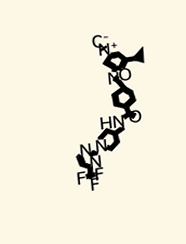 [C-]#[N+]c1cc(C2CC2)c2oc(-c3ccc(C(=O)NCC4CCN(c5nccc(C(F)(F)F)n5)CC4)cc3)nc2c1